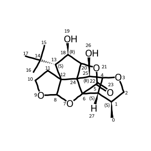 C[C@@H]1COC2[C@H]1C13OC4OCCC45[C@H](C(C)(C)C)[C@@H](O)C(OC1=O)C35[C@H]2O